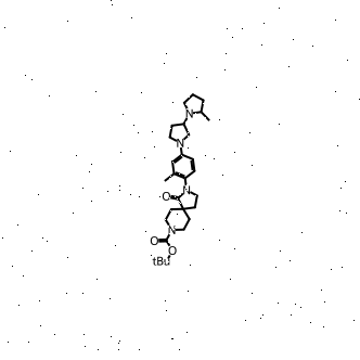 Cc1cc(N2CCC(N3CCCC3C)C2)ccc1N1CCC2(CCN(C(=O)OC(C)(C)C)CC2)C1=O